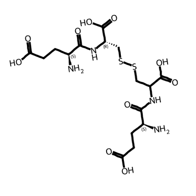 N[C@@H](CCC(=O)O)C(=O)NC(CSSC[C@H](NC(=O)[C@@H](N)CCC(=O)O)C(=O)O)C(=O)O